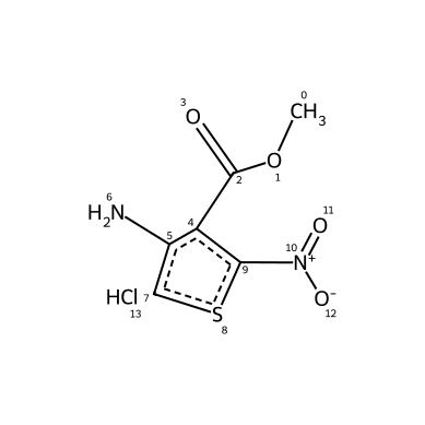 COC(=O)c1c(N)csc1[N+](=O)[O-].Cl